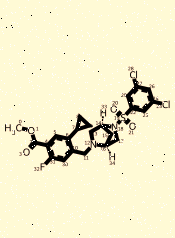 COC(=O)c1cc(C2CC2)c(CN2C[C@@H]3C[C@H]2CN3S(=O)(=O)c2cc(Cl)cc(Cl)c2)cc1F